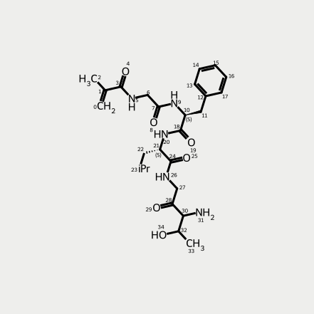 C=C(C)C(=O)NCC(=O)N[C@@H](Cc1ccccc1)C(=O)N[C@@H](CC(C)C)C(=O)NCC(=O)C(N)C(C)O